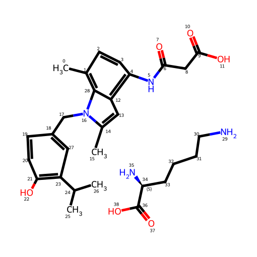 Cc1ccc(NC(=O)CC(=O)O)c2cc(C)n(Cc3ccc(O)c(C(C)C)c3)c12.NCCCC[C@H](N)C(=O)O